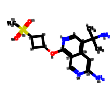 CC(C)(N)c1cnc(O[C@H]2C[C@H](S(C)(=O)=O)C2)c2cnc(N)cc12